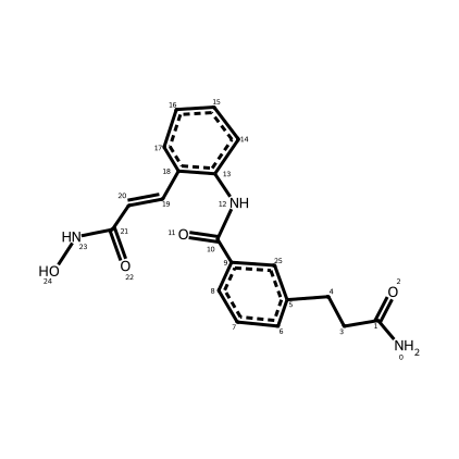 NC(=O)CCc1cccc(C(=O)Nc2ccccc2C=CC(=O)NO)c1